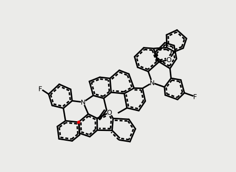 C=Cc1c(N(c2ccc(F)cc2-c2ccccc2)c2cccc3c2oc2ccccc23)ccc2ccc3c(N(c4ccc(F)cc4-c4ccccc4)c4cccc5c4oc4ccccc45)ccc(C)c3c12